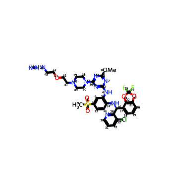 COc1nc(Nc2cc(S(C)(=O)=O)ccc2N[C@@H](c2cccc3c2OC(F)(F)O3)c2ncccc2Cl)nc(N2CCN(CCOCCN=[N+]=[N-])CC2)n1